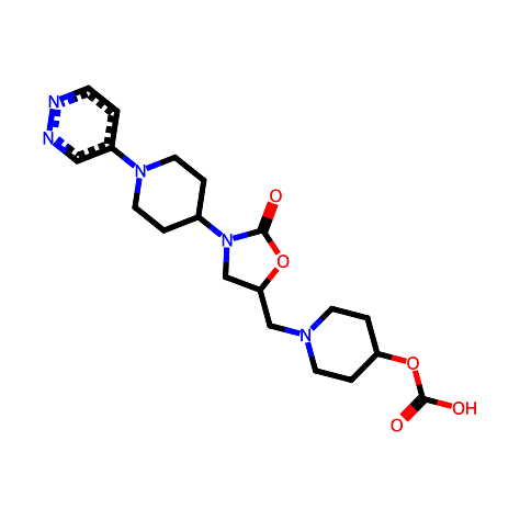 O=C(O)OC1CCN(CC2CN(C3CCN(c4ccnnc4)CC3)C(=O)O2)CC1